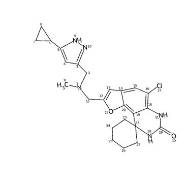 CN(Cc1cc(C2CC2)[nH]n1)Cc1cc2cc(Cl)c3c(c2o1)C1(CCCCC1)NC(=O)N3